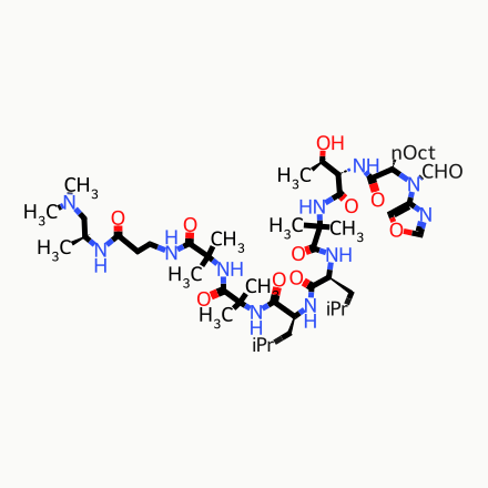 CCCCCCCC[C@@H](C(=O)N[C@H](C(=O)NC(C)(C)C(=O)N[C@@H](CC(C)C)C(=O)N[C@@H](CC(C)C)C(=O)NC(C)(C)C(=O)NC(C)(C)C(=O)NCCC(=O)N[C@@H](C)CN(C)C)[C@@H](C)O)N(C=O)c1cocn1